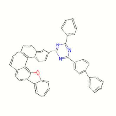 c1ccc(-c2ccc(-c3nc(-c4ccccc4)nc(-c4ccc5c(ccc6ccc7ccc8c9ccccc9oc8c7c65)c4)n3)cc2)cc1